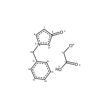 O=C(O)CCl.O=c1ccn(Cc2ccccc2)s1